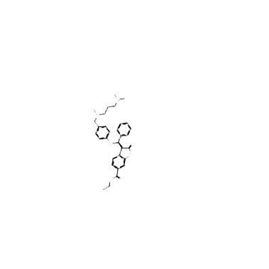 CCOC(=O)c1ccc2c(c1)NC(=O)/C2=C(/Nc1ccc(CN(C)CCCN(C)C)cc1)c1ccccc1